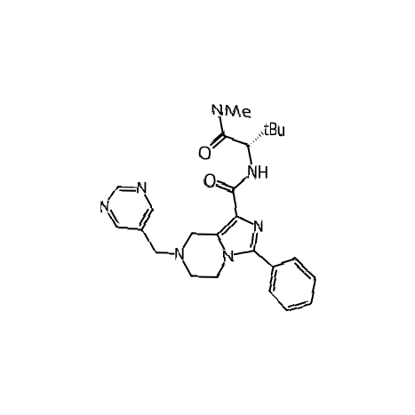 CNC(=O)[C@@H](NC(=O)c1nc(-c2ccccc2)n2c1CN(Cc1cncnc1)CC2)C(C)(C)C